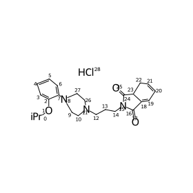 CC(C)Oc1ccccc1N1CCN(CCCN2C(=O)C3=CC=CCC3C2=O)CC1.Cl